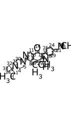 CCC1(N2CCN(c3cc4c(cn3)C(=O)c3c([nH]c5cc(/C=N/C)ccc35)C4(C)C)CC2)CCC1